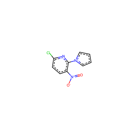 O=[N+]([O-])c1ccc(Cl)nc1-n1cccc1